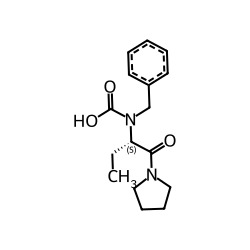 CC[C@@H](C(=O)N1CCCC1)N(Cc1ccccc1)C(=O)O